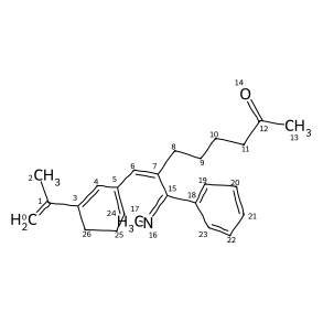 C=C(C)C1=CC(/C=C(CCCCC(C)=O)\C(=N/C)c2ccccc2)=CCC1